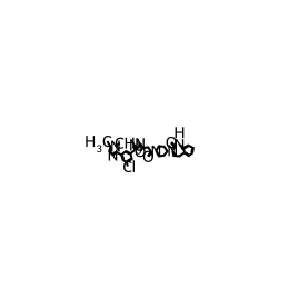 Cc1cnc(-c2cc(Cl)cc(-c3nnc(CC(=O)N4CCC(N5CCc6ccccc6NC5=O)CC4)o3)c2)n1C